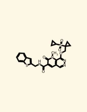 Cn1c(=O)c(C(=O)NCc2cc3ccccc3s2)cc2cnnc(OCC3(S(=O)(=O)C4CC4)CC3)c21